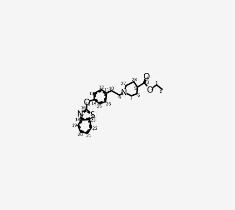 CCOC(=O)C1CCN(CCc2ccc(Oc3nc4ccccc4s3)cc2)CC1